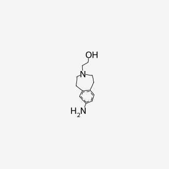 Nc1ccc2c(c1)CCN(CCO)CC2